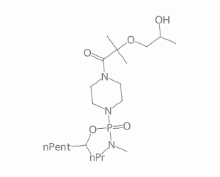 CCCCCC(CCC)OP(=O)(N(C)C)N1CCN(C(=O)C(C)(C)OCC(C)O)CC1